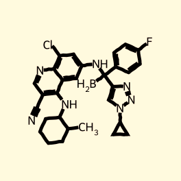 BC(Nc1cc(Cl)c2ncc(C#N)c(NC3CCCCC3C)c2c1)(c1ccc(F)cc1)c1cn(C2CC2)nn1